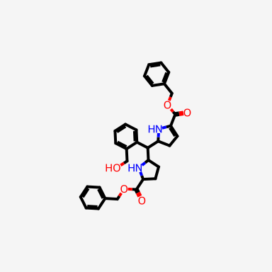 O=C(OCc1ccccc1)C1=CCC(C(c2ccccc2CO)C2CCC(C(=O)OCc3ccccc3)N2)N1